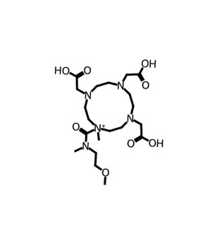 COCCN(C)C(=O)[N+]1(C)CCN(CC(=O)O)CCN(CC(=O)O)CCN(CC(=O)O)CC1